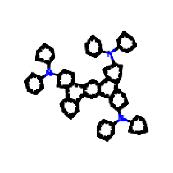 c1ccc(N(c2ccccc2)c2ccc3c(c2)c2ccccc2c2cc4c5cc(N(c6ccccc6)c6ccccc6)ccc5c5ccc(N(c6ccccc6)c6ccccc6)cc5c4cc32)cc1